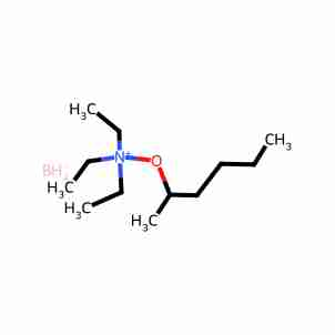 CCCCC(C)O[N+](CC)(CC)CC.[BH4-]